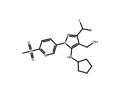 CS(=O)(=O)c1ccc(-n2nc(C(F)F)c(CO)c2NC2CCCC2)cn1